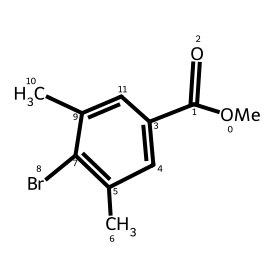 COC(=O)c1cc(C)c(Br)c(C)c1